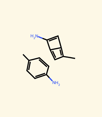 Cc1cc2c(N)cc1-2.Cc1ccc(N)cc1